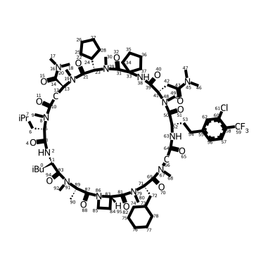 CC[C@H](C)[C@@H]1NC(=O)[C@H](CC(C)C)N(C)C(=O)C[C@@H](C(=O)N(C)C)N(C)C(=O)[C@H](C2CCCC2)N(C)C(=O)C2(CCCC2)NC(=O)[C@H](CC(=O)N(C)C)N(C)C(=O)[C@H](CCc2ccc(C(F)(F)F)c(Cl)c2)NC(=O)CN(C)C(=O)[C@H](CC2CCCCC2)N(C)C(=O)[C@@H]2CCN2C(=O)[C@H](C)N(C)C1=O